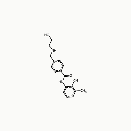 Cc1cccc(NC(=O)c2ccc(CNCCO)cn2)c1C#N